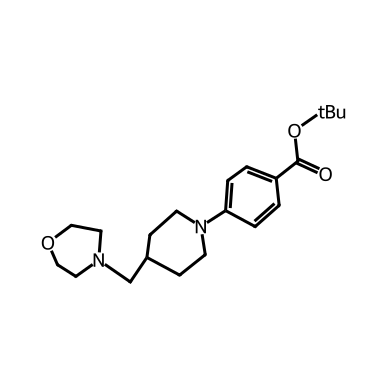 CC(C)(C)OC(=O)c1ccc(N2CCC(CN3CCOCC3)CC2)cc1